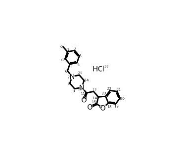 Cc1cccc(CN2CCN(C(=O)CC3C(=O)Oc4ccccc43)CC2)c1.Cl